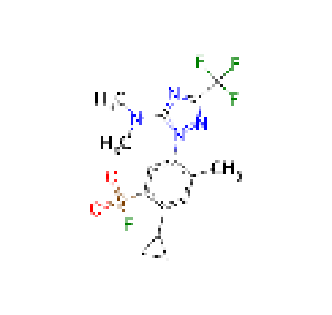 Cc1cc(C2CC2)c(S(=O)(=O)F)cc1-n1nc(C(F)(F)F)nc1N(C)C